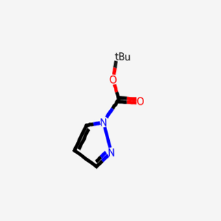 CC(C)(C)OC(=O)n1cccn1